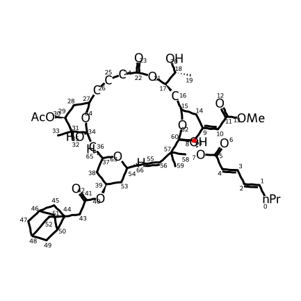 CCC/C=C/C=C/C(=O)O[C@H]1/C(=C/C(=O)OC)CC2C[C@H]([C@@H](C)O)OC(=O)CCCC3C[C@H](OC(C)=O)C(C)(C)[C@](O)(C[C@@H]4C[C@H](OC(=O)CC56CC7CC(CC5C7)C6)C[C@H](/C=C/C(C)(C)C1(O)O2)O4)O3